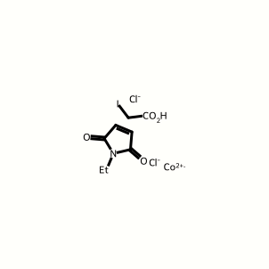 CCN1C(=O)C=CC1=O.O=C(O)CI.[Cl-].[Cl-].[Co+2]